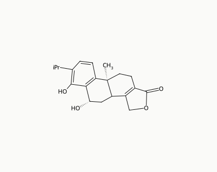 CC(C)c1ccc2c(c1O)[C@@H](O)CC1C3=C(CC[C@]21C)C(=O)OC3